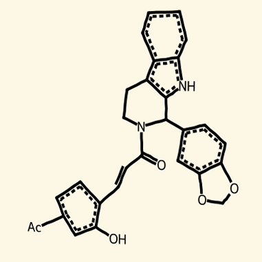 CC(=O)c1ccc(/C=C/C(=O)N2CCc3c([nH]c4ccccc34)C2c2ccc3c(c2)OCO3)c(O)c1